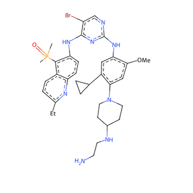 CCc1ccc2c(P(C)(C)=O)c(Nc3nc(Nc4cc(C5CC5)c(N5CCC(NCCN)CC5)cc4OC)ncc3Br)ccc2n1